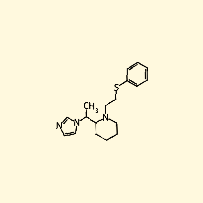 CC(C1CCCCN1CCSc1ccccc1)n1ccnc1